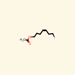 CC(=O)OCCC/C=C\CCI